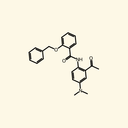 CC(=O)c1cc(N(C)C)ccc1NC(=O)c1ccccc1OCc1ccccc1